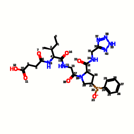 CC[C@H](C)[C@H](NC(=O)CCC(=O)O)C(=O)NCC(=O)N1C[C@H]([S+]([O-])c2ccccc2)CC1C(=O)NCc1nn[nH]n1